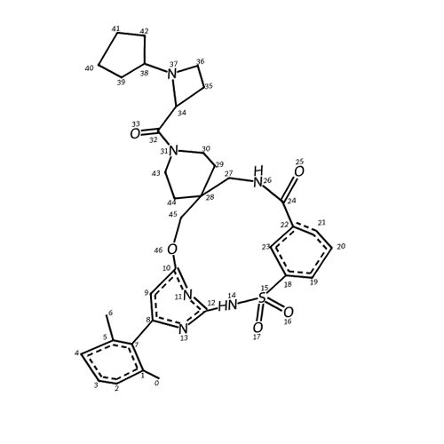 Cc1cccc(C)c1-c1cc2nc(n1)NS(=O)(=O)c1cccc(c1)C(=O)NCC1(CCN(C(=O)C3CCN3C3CCCC3)CC1)CO2